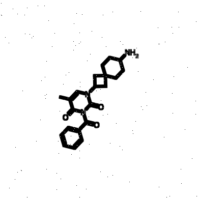 Cc1cn(C2CC3(CCC(N)CC3)C2)c(=O)n(C(=O)c2ccccc2)c1=O